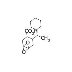 CC(C1CCCCC1)C1CC23OC2(CC1C(=O)O)O3